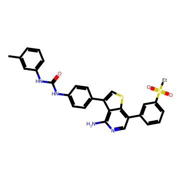 CCS(=O)(=O)c1cccc(-c2cnc(N)c3c(-c4ccc(NC(=O)Nc5cccc(C)c5)cc4)csc23)c1